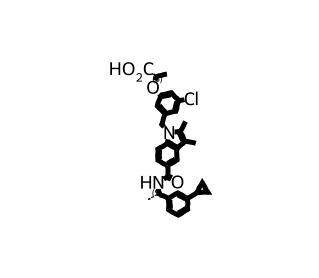 Cc1c(C)n(Cc2cc(Cl)cc(O[C@@H](C)C(=O)O)c2)c2ccc(C(=O)N[C@@H](C)c3cccc(C4CC4)c3)cc12